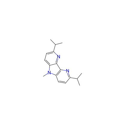 CC(C)c1ccc2c(n1)c1nc(C(C)C)ccc1n2C